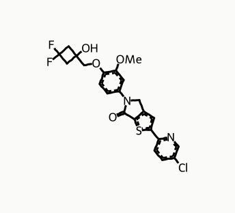 COc1cc(N2Cc3cc(-c4ccc(Cl)cn4)sc3C2=O)ccc1OCC1(O)CC(F)(F)C1